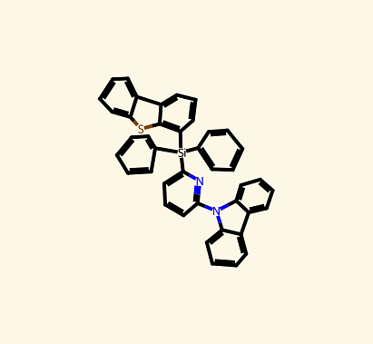 c1ccc([Si](c2ccccc2)(c2cccc(-n3c4ccccc4c4ccccc43)n2)c2cccc3c2sc2ccccc23)cc1